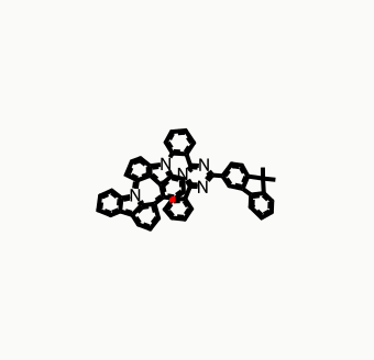 CC1(C)c2ccccc2-c2cc(-c3nc(-c4ccccc4)nc(-c4ccccc4-n4c5cccc6c7cccc8c9ccccc9n(c9cccc4c9c65)c78)n3)ccc21